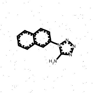 Nc1nnnn1-c1ccc2ccccc2c1